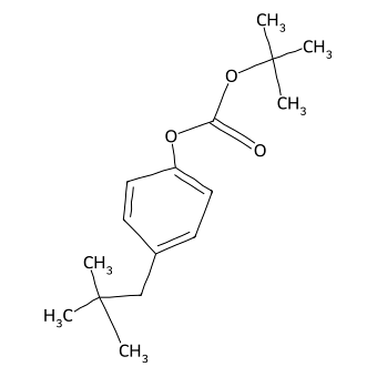 CC(C)(C)Cc1ccc(OC(=O)OC(C)(C)C)cc1